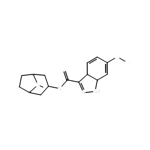 CN1C2CCC1CC(NC(=O)C1=NNC3C=C(OC(F)(F)F)C=CC13)C2